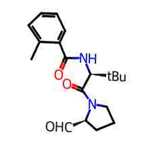 Cc1ccccc1C(=O)N[C@H](C(=O)N1CCC[C@H]1C=O)C(C)(C)C